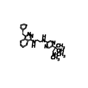 CN(C)CC(C)(O)c1cnc(NCCNc2nnc(Cc3ccccc3)c3ccccc23)cn1